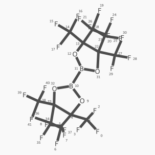 FC(F)(F)C1(C(F)(F)F)OB(B2OC(C(F)(F)F)(C(F)(F)F)C(C(F)(F)F)(C(F)(F)F)O2)OC1(C(F)(F)F)C(F)(F)F